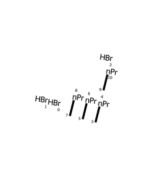 Br.Br.Br.CCCC.CCCC.CCCC.CCCC